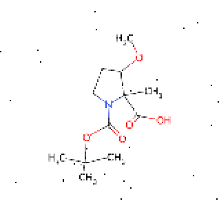 COC1CCN(C(=O)OC(C)(C)C)C1(C)C(=O)O